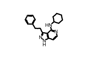 [c]1ccc(CCc2n[nH]c3ccnc(NC4CCCCC4)c23)cc1